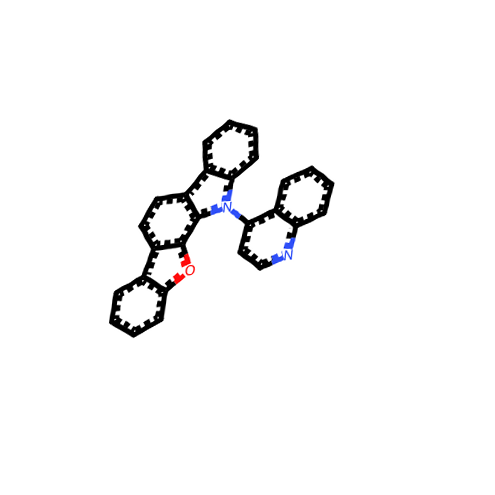 c1ccc2c(-n3c4ccccc4c4ccc5c6ccccc6oc5c43)ccnc2c1